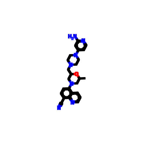 CC1CN(c2ccc(C#N)c3ncccc23)CC(CN2CCN(c3ccnc(N)c3)CC2)O1